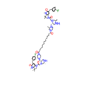 C[C@@H]1CN(CC(=O)N2CC(C)(C)c3c2cc(Cc2ccc(F)cc2)c(=O)n3C)[C@@H](CN2CCN(C(=O)CCCCCCCCCCCCC(=O)N3CCN(C[C@H]4CN[C@H](C)CN4CC(=O)N4CC(C)(C)c5c4cc(Cc4ccc(F)cc4)c(=O)n5C)[C@H](C)C3)C[C@H]2C)CN1